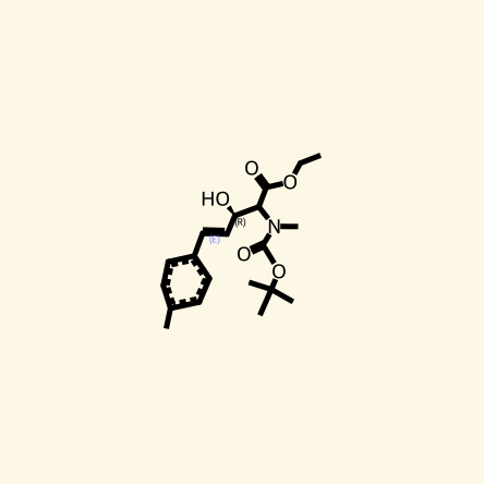 CCOC(=O)C([C@H](O)/C=C/c1ccc(C)cc1)N(C)C(=O)OC(C)(C)C